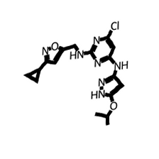 CC(C)Oc1cc(Nc2cc(Cl)nc(NCc3cc(C4CC4)no3)n2)n[nH]1